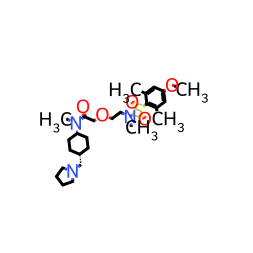 COc1cc(C)c(S(=O)(=O)N(C)CCOCC(=O)N(C)[C@H]2CC[C@@H](CN3CCCC3)CC2)c(C)c1